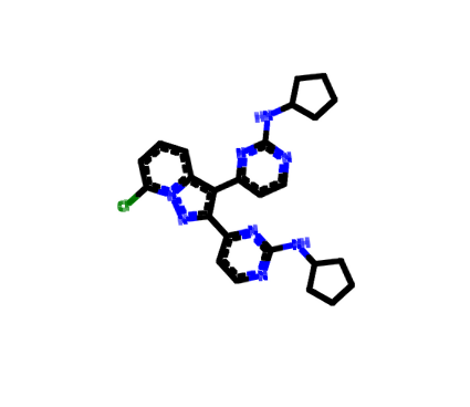 Clc1cccc2c(-c3ccnc(NC4CCCC4)n3)c(-c3ccnc(NC4CCCC4)n3)nn12